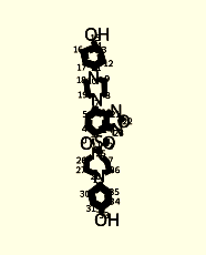 O=S(=O)(c1ccc(N2CCN(c3ccc(O)cc3)CC2)c2nonc12)N1CCN(c2ccc(O)cc2)CC1